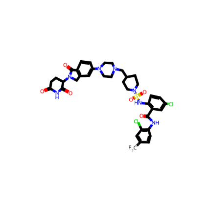 O=C1CCC(N2Cc3cc(N4CCN(CC5CCN(S(=O)(=O)Nc6ccc(Cl)cc6C(=O)Nc6ccc(C(F)(F)F)cc6Cl)CC5)CC4)ccc3C2=O)C(=O)N1